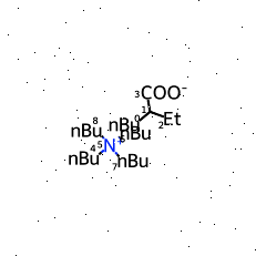 CCCCC(CC)C(=O)[O-].CCCC[N+](CCCC)(CCCC)CCCC